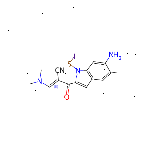 Cc1cc2cc(C(=O)/C(C#N)=C/N(C)C)n(SI)c2cc1N